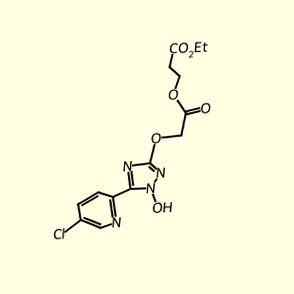 CCOC(=O)CCOC(=O)COc1nc(-c2ccc(Cl)cn2)n(O)n1